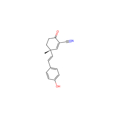 C[C@]1(C=Cc2ccc(O)cc2)C=C(C#N)C(=O)CC1